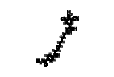 N#Cc1cc(C(O)CNCCCCCCOCCNc2ccc(C(N)=O)cc2)cc(Cl)c1N